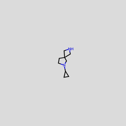 C1CC1N1CCC2(CNC2)C1